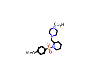 COc1ccc(S(=O)(=O)N2CCCCC2CN2CCN(C(=O)O)CC2)cc1